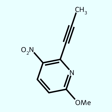 CC#Cc1nc(OC)ccc1[N+](=O)[O-]